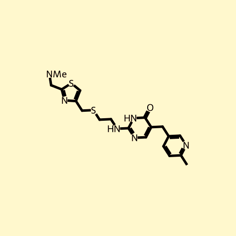 CNCc1nc(CSCCNc2ncc(Cc3ccc(C)nc3)c(=O)[nH]2)cs1